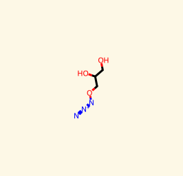 [N-]=[N+]=NOCC(O)CO